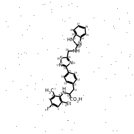 CCc1cc(F)cc(C)c1NC(Cc1ccc(-c2nsc(CNc3nc4ccccc4[nH]3)n2)cc1)C(=O)O